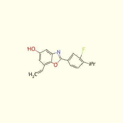 C=Cc1cc(O)cc2nc(-c3ccc(C(C)C)c(F)c3)oc12